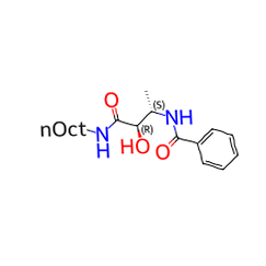 CCCCCCCCNC(=O)[C@H](O)[C@H](C)NC(=O)c1ccccc1